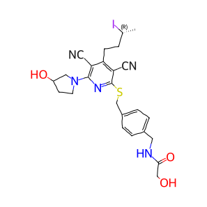 C[C@@H](I)CCc1c(C#N)c(SCc2ccc(CNC(=O)CO)cc2)nc(N2CCC(O)C2)c1C#N